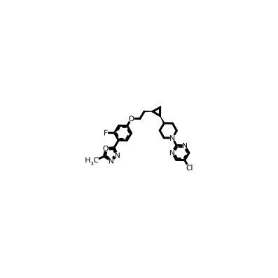 Cc1nnc(-c2ccc(OCC[C@H]3C[C@H]3C3CCN(c4ncc(Cl)cn4)CC3)cc2F)o1